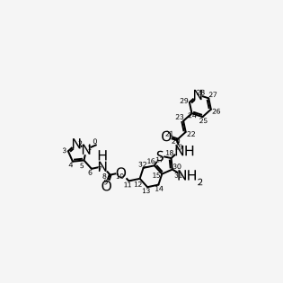 Cn1nccc1CNC(=O)OCC1CCc2c(sc(NC(=O)/C=C/c3cccnc3)c2N)C1